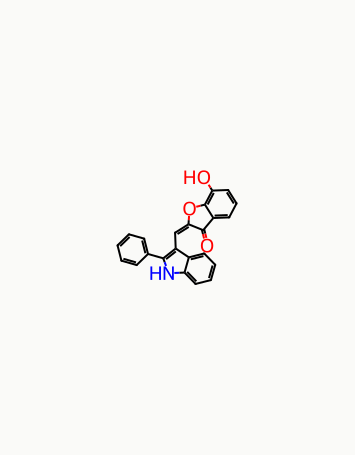 O=C1C(=Cc2c(-c3ccccc3)[nH]c3ccccc23)Oc2c(O)cccc21